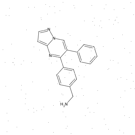 NCc1ccc(-c2nc3ccnn3cc2-c2ccccc2)cc1